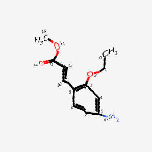 CCOc1cc(N)ccc1/C=C/C(=O)OC